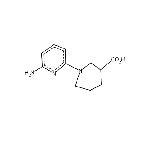 Nc1cccc(N2CCCC(C(=O)O)C2)n1